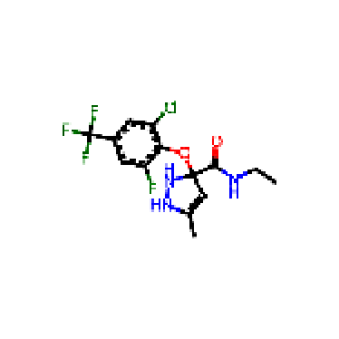 CCNC(=O)C1(Oc2c(F)cc(C(F)(F)F)cc2Cl)C=C(C)NN1